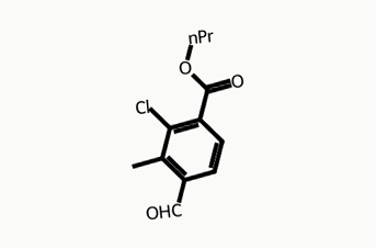 CCCOC(=O)c1ccc(C=O)c(C)c1Cl